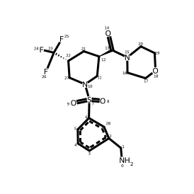 NCc1cccc(S(=O)(=O)N2C[C@H](C(=O)N3CCOCC3)C[C@@H](C(F)(F)F)C2)c1